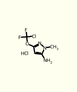 Cl.Cn1nc(OC(F)(F)Cl)cc1N